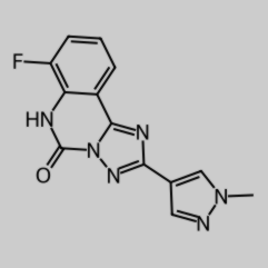 Cn1cc(-c2nc3c4cccc(F)c4[nH]c(=O)n3n2)cn1